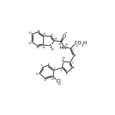 O=C(O)/C(=C/c1ccc(-c2ccccc2Cl)s1)NC(=O)c1cc2ccccc2s1